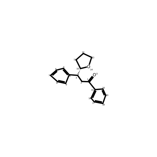 O=C(CC(c1ccccc1)[C@@H]1CCCO1)c1ccccc1